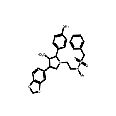 CCCN(CCN1CC(c2ccc3c(c2)OCO3)C(C(=O)O)C1c1ccc(OC)cc1)S(=O)(=O)Cc1ccccc1